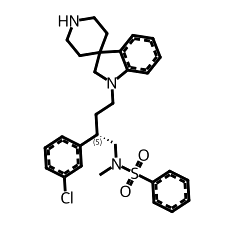 CN(C[C@@H](CCN1CC2(CCNCC2)c2ccccc21)c1cccc(Cl)c1)S(=O)(=O)c1ccccc1